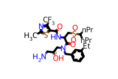 CCCC(CCC)S(=O)(=O)CC(NC(=O)c1sc(C)nc1C(F)(F)F)C(=O)N(Cc1cccc(CC)c1)C[C@@H](O)CN